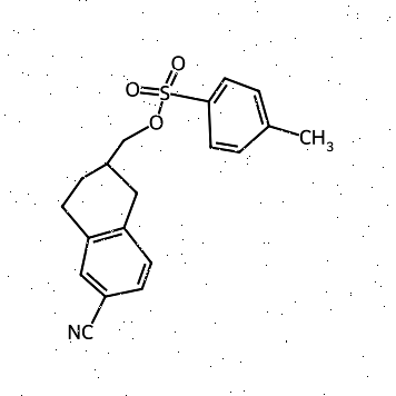 Cc1ccc(S(=O)(=O)OCC2CCc3cc(C#N)ccc3C2)cc1